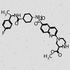 COC(=O)C1CN(c2ccc3cc(S(=O)(=O)N[C@H]4CC[C@H](C(=O)N[C@H](C)c5ccc(F)cc5)CC4)ccc3n2)CCN1